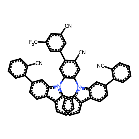 N#Cc1cc(-c2cc(-n3c4ccccc4c4ccc(-c5ccccc5C#N)cc43)c(-n3c4ccccc4c4ccc(-c5ccccc5C#N)cc43)cc2C#N)cc(C(F)(F)F)c1